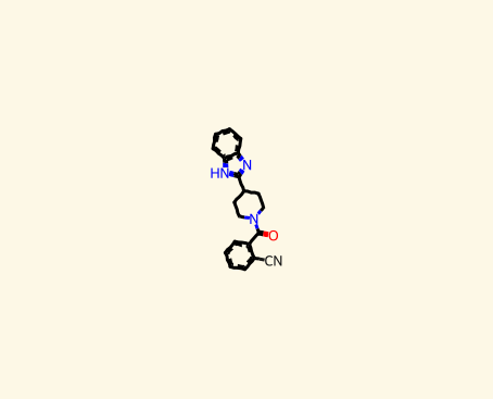 N#Cc1ccccc1C(=O)N1CCC(c2nc3ccccc3[nH]2)CC1